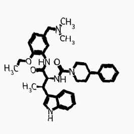 CCOc1ccc(CN(C)C)cc1NC(=O)[C@@H](NC(=O)N1CCC(c2ccccc2)CC1)[C@H](C)c1c[nH]c2ccccc12